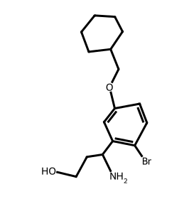 NC(CCO)c1cc(OCC2CCCCC2)ccc1Br